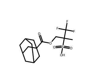 CC(COC(=O)C12CC3CC(CC(C3)C1)C2)(C(F)(F)F)S(=O)(=O)O